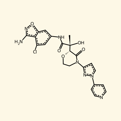 C[C@](O)(C(=O)Nc1cc(Cl)c2c(N)noc2c1)[C@H]1OCCN(c2ccn(-c3ccncc3)n2)C1=O